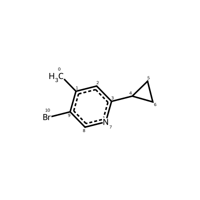 Cc1cc(C2CC2)ncc1Br